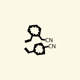 C=Cc1ccc(C#N)cc1.C=Cc1ccccc1CC#N